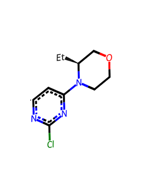 CC[C@H]1COCCN1c1c[c]nc(Cl)n1